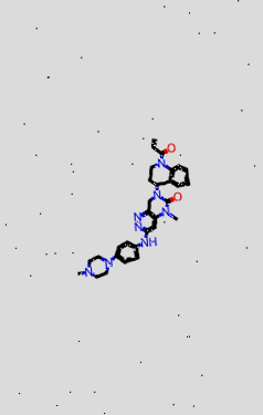 C=CC(=O)N1CCC(N2Cc3nnc(Nc4ccc(N5CCN(C)CC5)cc4)cc3N(C)C2=O)c2ccccc21